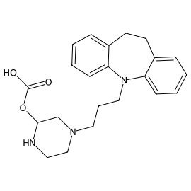 O=C(O)OC1CN(CCCN2c3ccccc3CCc3ccccc32)CCN1